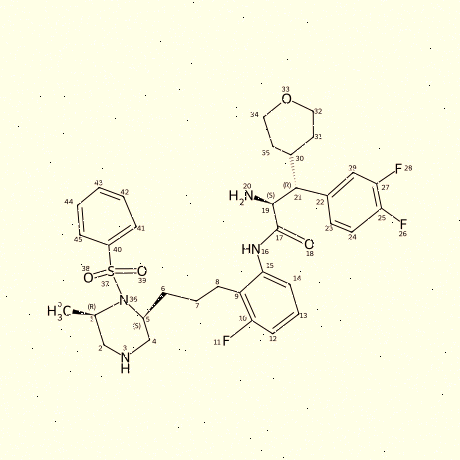 C[C@@H]1CNC[C@H](CCCc2c(F)cccc2NC(=O)[C@@H](N)[C@@H](c2ccc(F)c(F)c2)C2CCOCC2)N1S(=O)(=O)c1ccccc1